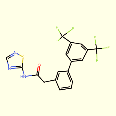 O=C(Cc1cccc(-c2cc(C(F)(F)F)cc(C(F)(F)F)c2)c1)Nc1ncns1